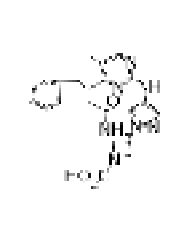 Cc1cnc(Nc2cnn(C3CN(C(=O)O)C3)c2)nc1C(CC(N)=O)Cc1ccccc1